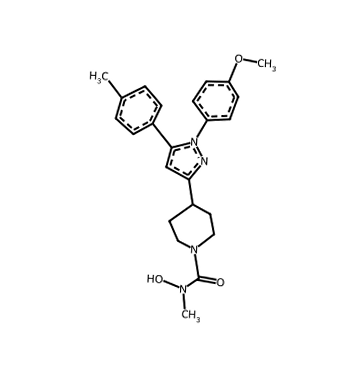 COc1ccc(-n2nc(C3CCN(C(=O)N(C)O)CC3)cc2-c2ccc(C)cc2)cc1